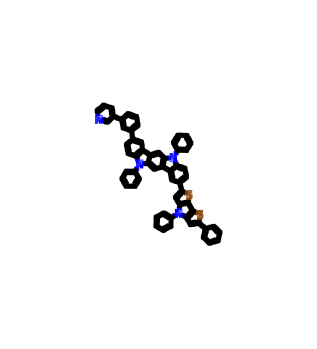 c1ccc(-c2cc3c(s2)c2sc(-c4ccc5c(c4)c4cc6c(cc4n5-c4ccccc4)c4cc(-c5cccc(-c7cccnc7)c5)ccc4n6-c4ccccc4)cc2n3-c2ccccc2)cc1